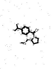 CSC[C@@H]1CCCN1C(=O)c1ccc(C(C)C)cc1